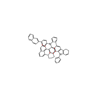 C1=Cc2c(c3cc(-c4ccccc4N(c4ccc(-c5ccc6ccccc6c5)cc4)c4ccccc4-c4cccc5cccc(C6CCCCC6)c45)ccc3n2-c2ccccc2)CC1